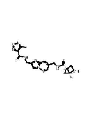 Cc1nonc1C(=O)NCc1cn2ncc(CNC(=O)[C@@]34C[C@@H]3[C@@H](F)C4)cc2n1